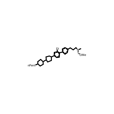 CCCCCC1CCC(C2CCC(c3ccc(-c4ccc(CCCN(C)SOC)cc4)c(CC)c3)CC2)CC1